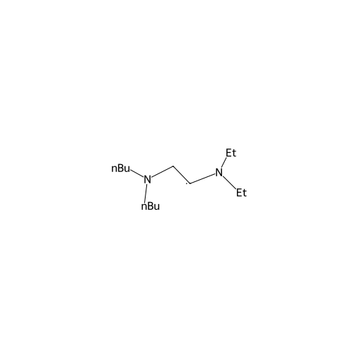 CCCCN(C[CH]N(CC)CC)CCCC